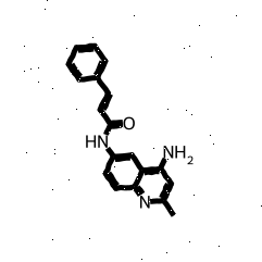 Cc1cc(N)c2cc(NC(=O)C=Cc3ccccc3)ccc2n1